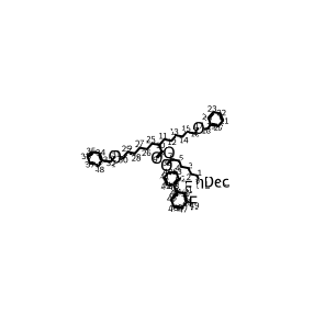 CCCCCCCCCCCCCCCC(OC(=O)C(CCCCCCOCc1ccccc1)CCCCCCOCc1ccccc1)Oc1ccc(-c2cccc(F)c2F)cc1